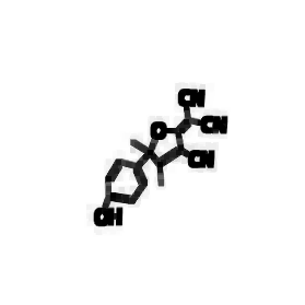 CC1=C(C#N)C(=C(C#N)C#N)OC1(C)c1ccc(O)cc1